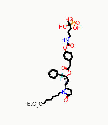 CCOC(=O)CCCCCCN1C(=O)CC[C@@H]1/C=C/[C@@H](OC(=O)Cc1ccc(OC(=O)NCCCC(C)(O)P(=O)(O)O)cc1)C(F)(F)c1ccccc1